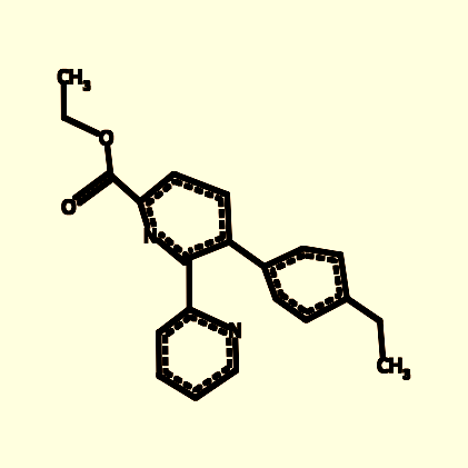 CCOC(=O)c1ccc(-c2ccc(CC)cc2)c(-c2ccccn2)n1